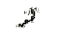 CC(=O)N1[C@H](C)CN(Cc2ccc(C(=O)C=Cc3cccc(C=CC(=O)NO)n3)cc2)C[C@@H]1C